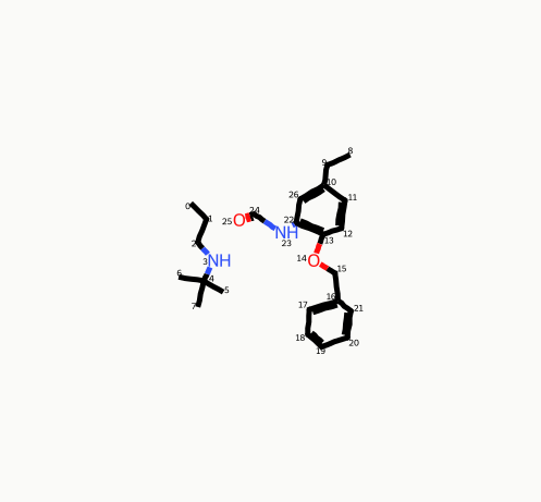 CCCNC(C)(C)C.CCc1ccc(OCc2ccccc2)c(NC=O)c1